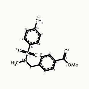 COC(=O)c1ccc(CN(C)S(=O)(=O)c2ccc(C)cc2)cc1